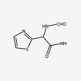 [NH]C(=O)C(NC=O)c1nccs1